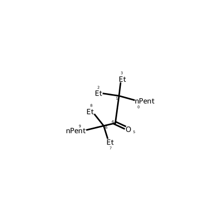 CCCCCC(CC)(CC)C(=O)C(CC)(CC)CCCCC